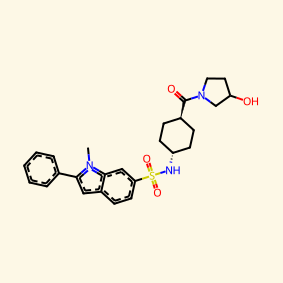 Cn1c(-c2ccccc2)cc2ccc(S(=O)(=O)N[C@H]3CC[C@H](C(=O)N4CCC(O)C4)CC3)cc21